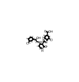 O=C(O)c1cc(Cl)c2nc(-c3c(NCC(O)c4cccc(Cl)c4)cc[nH]c3=O)[nH]c2c1